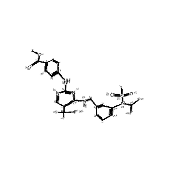 COC(=O)c1ccc(Nc2ncc(C(F)(F)F)c(NCc3cccc(N(C(F)F)S(C)(=O)=O)c3)n2)cc1